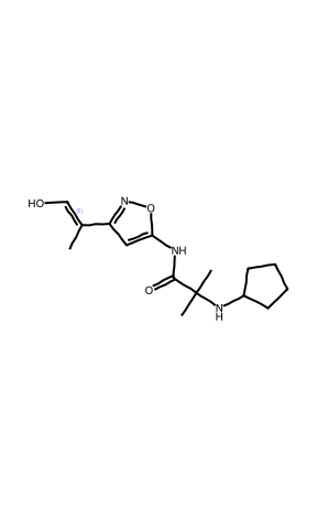 C/C(=C\O)c1cc(NC(=O)C(C)(C)NC2CCCC2)on1